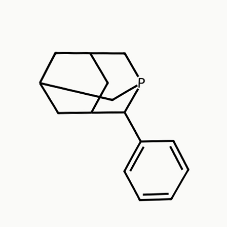 c1ccc(C2C3CC4CC(C3)CP2C4)cc1